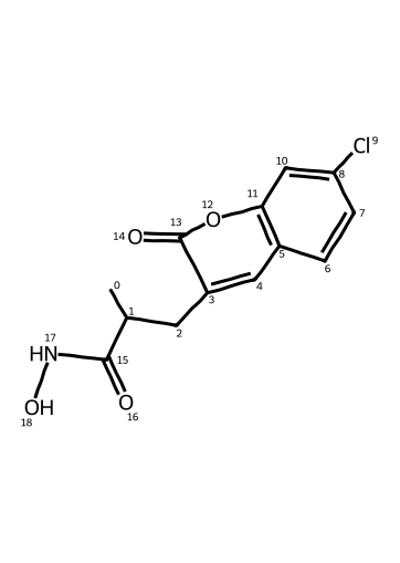 CC(Cc1cc2ccc(Cl)cc2oc1=O)C(=O)NO